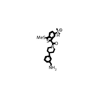 CSc1sc(C(=O)N2CCC(c3cccc(CN)c3)CC2)c2cc([SH](C)(C)=O)ccc12